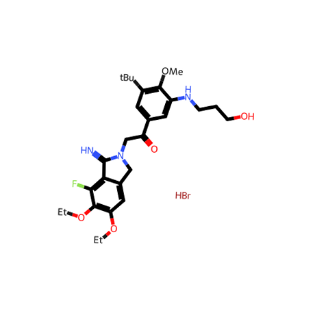 Br.CCOc1cc2c(c(F)c1OCC)C(=N)N(CC(=O)c1cc(NCCCO)c(OC)c(C(C)(C)C)c1)C2